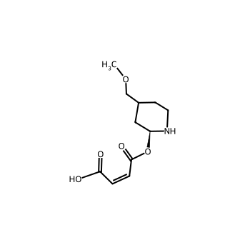 COCC1CCN[C@@H](OC(=O)/C=C\C(=O)O)C1